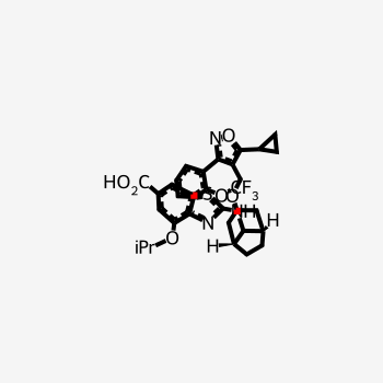 CC(C)Oc1cc(C(=O)O)cc2sc(NC3[C@@H]4CC[C@H]3CC(OCc3c(-c5ccccc5OC(F)(F)F)noc3C3CC3)C4)nc12